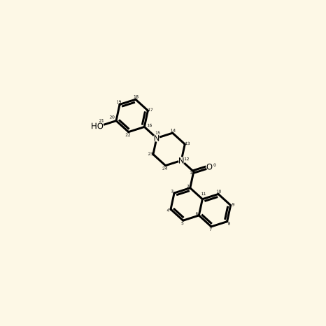 O=C(c1cccc2ccccc12)N1CCN(c2cccc(O)c2)CC1